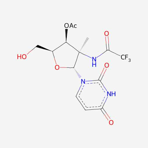 CC(=O)O[C@@H]1[C@H](CO)O[C@@H](n2ccc(=O)[nH]c2=O)[C@]1(C)NC(=O)C(F)(F)F